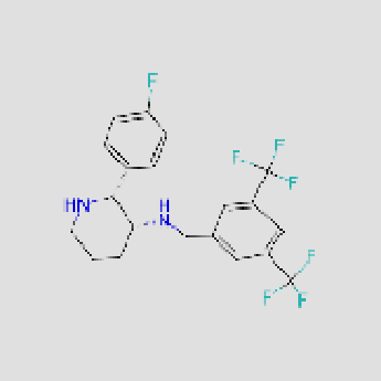 Fc1ccc([C@H]2NCCC[C@H]2NCc2cc(C(F)(F)F)cc(C(F)(F)F)c2)cc1